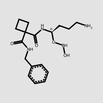 NCCC[C@H](NC(=O)C1(C(=O)NCc2ccccc2)CCC1)OBO